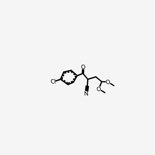 COC(CC(C#N)C(=O)c1ccc(Cl)cc1)OC